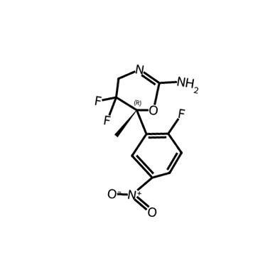 C[C@]1(c2cc([N+](=O)[O-])ccc2F)OC(N)=NCC1(F)F